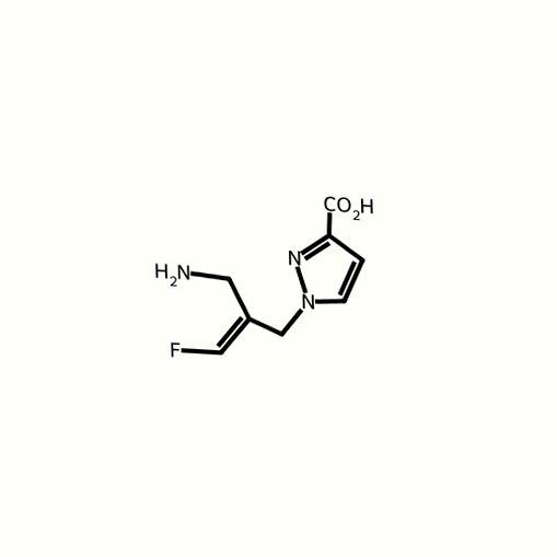 NC/C(=C\F)Cn1ccc(C(=O)O)n1